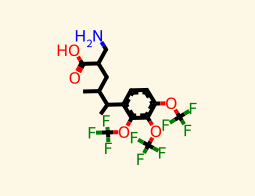 CC(CC(CN)C(=O)O)C(C)c1ccc(OC(F)(F)F)c(OC(F)(F)F)c1OC(F)(F)F